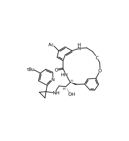 CC(=O)c1cc2cc(c1)C(=O)N[C@H]([C@H](O)CNC1(c3cc(C(C)(C)C)ccn3)CC1)Cc1cccc(c1)OCCCCN2